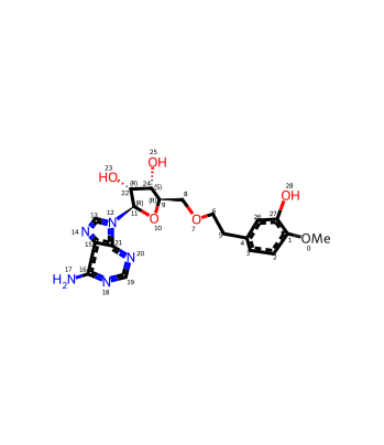 COc1ccc(CCOC[C@H]2O[C@@H](n3cnc4c(N)ncnc43)[C@H](O)[C@@H]2O)cc1O